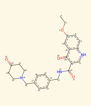 CCOc1ccc2[nH]cc(C(=O)NCc3ccc(CN4CCC(=O)CC4)cc3)c(=O)c2c1